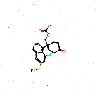 CCSc1cc(F)c2c(C3(COC(=O)CC)CCC(=O)CC3)cccc2c1